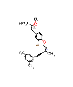 CCO[C@@H](Cc1ccc(OC/C=C(/C)C#Cc2cc(C(F)(F)F)cc(C(F)(F)F)c2)c(Br)c1)C(=O)O